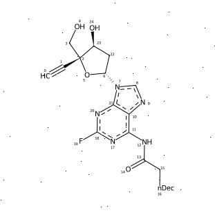 C#C[C@]1(CO)O[C@@H](n2cnc3c(NC(=O)CCCCCCCCCCC)nc(F)nc32)C[C@@H]1O